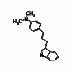 CN(C)c1ccc(/C=C/C=C2\C=Nc3ccccc32)cc1